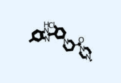 Cc1ccc2[nH]c(-c3cc(N4CCC[C@H](C(=O)N5CCN(C)CC5)C4)ccc3Cl)nc2c1